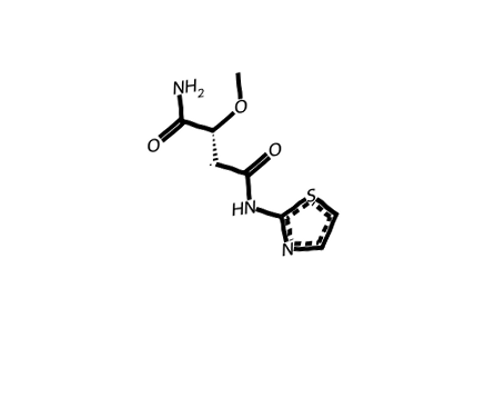 CO[C@H]([CH]C(=O)Nc1nccs1)C(N)=O